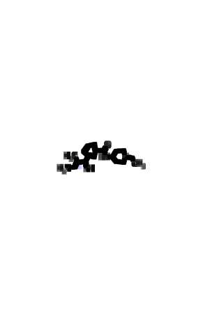 CCN1CCC(NC(=O)c2cccc(C(=N)/C(C)=C/N)c2)CC1